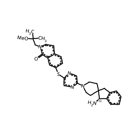 COC(C)(C)Cn1ccc2ccc(Sc3cnc(N4CCC5(CC4)Cc4ccccc4[C@H]5N)cn3)cc2c1=O